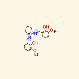 CCOc1cccc(/C=N/[C@@H]2CCCC[C@H]2/N=C/c2cccc(OCC)c2O)c1O